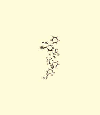 COc1c(C(C)(C)C)cc2c(c1-c1ccccc1)C=C(C)C2S(C)(C)C1C(C)=Cc2c(-c3ccc(C(C)(C)C)cc3)cccc21